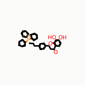 O=C1CC(c2ccc(CCC[PH](c3ccccc3)(c3ccccc3)c3ccccc3)cc2)Oc2c1ccc(O)c2O